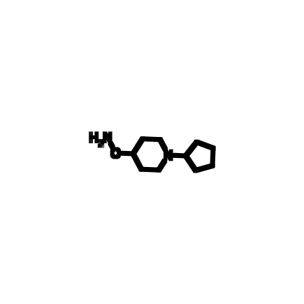 NOC1CCN(C2CCCC2)CC1